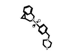 O=S(=O)(c1ccc(CN2CCSCC2)cc1)N(Cc1ccccc1)CC1CC1